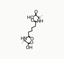 C[C@H](NC(=O)CCCCC(=O)N[C@@H](C)C(=O)O)C(=O)O